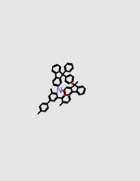 Cc1ccc(-c2cc(C)c(N(c3ccc4c(c3)C(C)(C)c3ccccc3-4)c3ccc4c(c3)C(c3ccccc3)(c3ccccc3)c3ccccc3-4)c(-c3c(C)cccc3C)c2)cc1